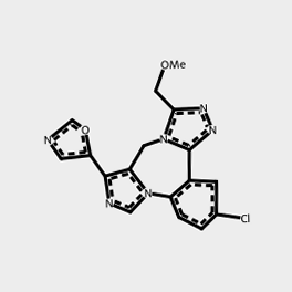 COCc1nnc2n1Cc1c(-c3cnco3)ncn1-c1ccc(Cl)cc1-2